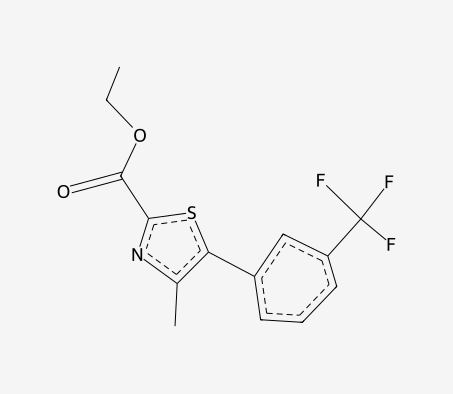 CCOC(=O)c1nc(C)c(-c2cccc(C(F)(F)F)c2)s1